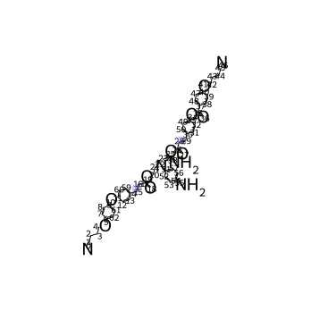 N#CCCCOc1ccc(Oc2ccc(/C=C/C(=O)OCCN(CCOC(=O)/C=C/c3ccc(OC(=O)c4ccc(OCCCC#N)cc4)cc3)c3ccc(N)cc3N)cc2)cc1